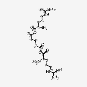 N=C(N)NCCC[C@H](N)C(=O)OC(=O)CCCC(=O)OC(=O)[C@@H](N)CCCNC(=N)N